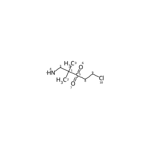 CC(C)(C[NH])S(=O)(=O)CCCl